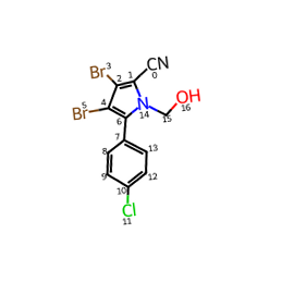 N#Cc1c(Br)c(Br)c(-c2ccc(Cl)cc2)n1CO